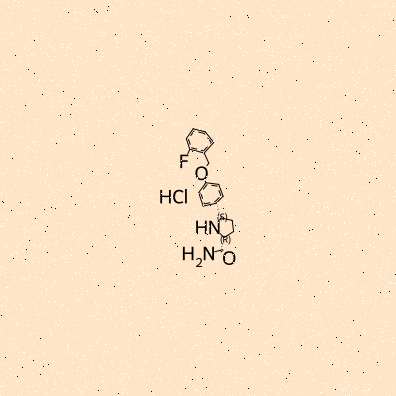 Cl.NC(=O)[C@H]1CC[C@@H](c2ccc(OCc3ccccc3F)cc2)N1